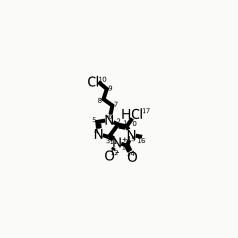 Cc1c2c(ncn2CCCCl)[n+]([O-])c(=O)n1C.Cl